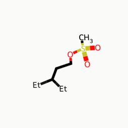 CCC(CC)CCOS(C)(=O)=O